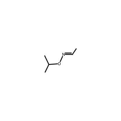 CC=NOC(C)C